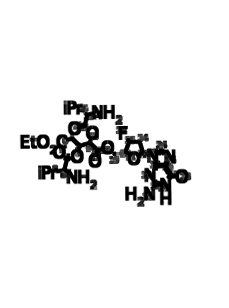 CCOC(=O)CC(OC(=O)[C@@H](N)C(C)C)C(OC(=O)[C@@H](N)C(C)C)C(=O)OC[C@H]1O[C@@H](n2cnc3c(=O)[nH]c(N)nc32)C[C@@H]1F